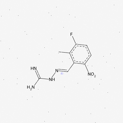 Cc1c(F)ccc([N+](=O)[O-])c1/C=N/NC(=N)N